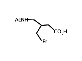 CC(=O)NCC(CC(=O)O)CC(C)C